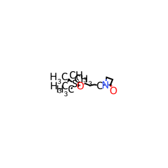 CC(C)(C)[Si](C)(C)OCCCCN1CCC1=O